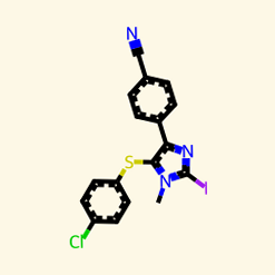 Cn1c(I)nc(-c2ccc(C#N)cc2)c1Sc1ccc(Cl)cc1